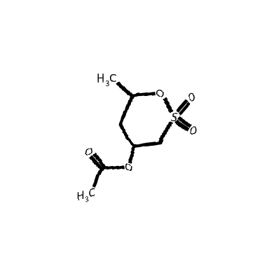 CC(=O)OC1CC(C)OS(=O)(=O)C1